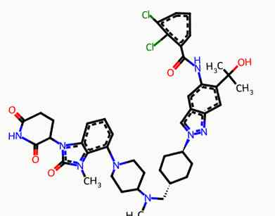 CN(C[C@H]1CC[C@H](n2cc3cc(NC(=O)c4cccc(Cl)c4Cl)c(C(C)(C)O)cc3n2)CC1)C1CCN(c2cccc3c2n(C)c(=O)n3C2CCC(=O)NC2=O)CC1